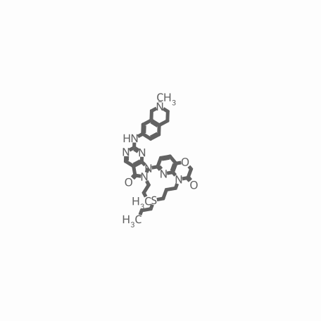 CCCSCCCN1C(=O)COc2ccc(-n3c4nc(Nc5ccc6c(c5)CN(C)CC6)ncc4c(=O)n3CCC)nc21